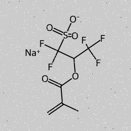 C=C(C)C(=O)OC(C(F)(F)F)C(F)(F)S(=O)(=O)[O-].[Na+]